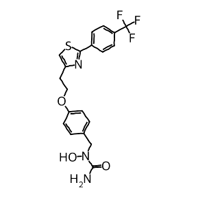 NC(=O)N(O)Cc1ccc(OCCc2csc(-c3ccc(C(F)(F)F)cc3)n2)cc1